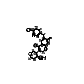 Cc1cc2c(cc1Cc1ccc(Cl)nc1)C(=O)N([C@H]1COCC[C@@H]1O)CO2